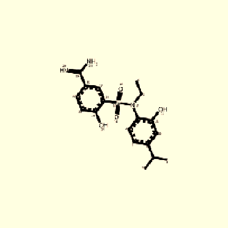 CCN(c1ccc(C(C)C)cc1O)S(=O)(=O)c1cc(C(=N)N)ccc1O